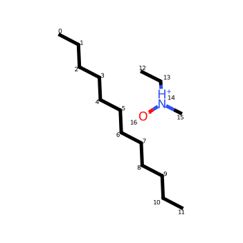 CCCCCCCCCCCC.CC[NH+](C)[O-]